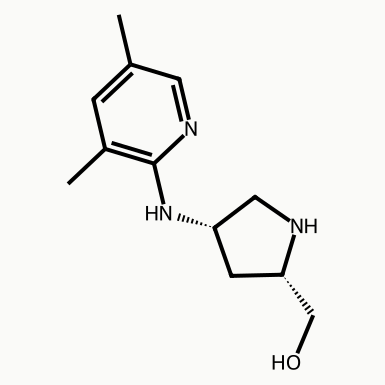 Cc1cnc(N[C@@H]2CN[C@H](CO)C2)c(C)c1